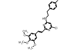 COc1cc(C=Cc2nc(Cl)cc(NCCc3ccc(F)cc3)n2)cc(OC)c1OC